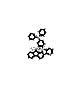 CC1(C)c2ccccc2-c2ccc3c4ncccc4n(-c4ccc(N(c5ccccc5)c5ccccc5)cc4)c3c21